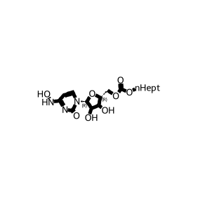 CCCCCCCOC(=O)OC[C@H]1O[C@@H](n2ccc(NO)nc2=O)C(O)C1O